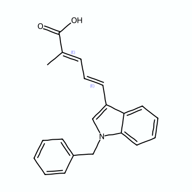 C/C(=C\C=C\c1cn(Cc2ccccc2)c2ccccc12)C(=O)O